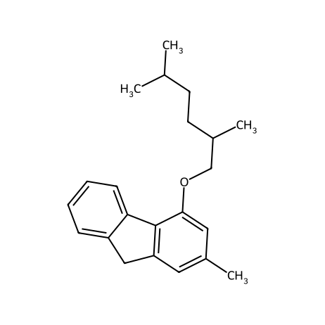 Cc1cc2c(c(OCC(C)CCC(C)C)c1)-c1ccccc1C2